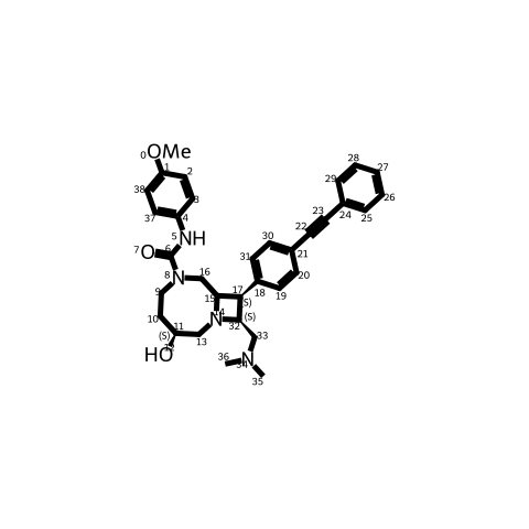 COc1ccc(NC(=O)N2CC[C@H](O)CN3C(C2)[C@@H](c2ccc(C#Cc4ccccc4)cc2)[C@H]3CN(C)C)cc1